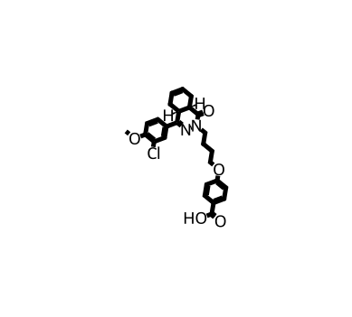 COc1ccc(C2=NN(CCCCOc3ccc(C(=O)O)cc3)C(=O)[C@@H]3CC=CC[C@H]23)cc1Cl